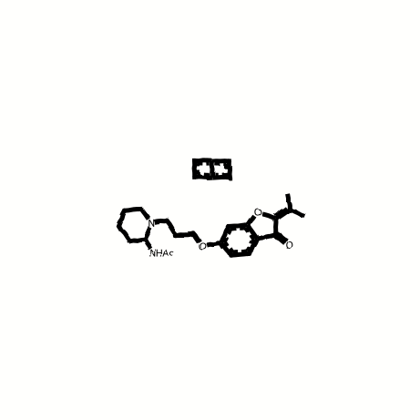 CC(=O)NC1CCCCN1CCCOc1ccc2c(c1)OC(=C(C)C)C2=O.c1cc2ccc1-2